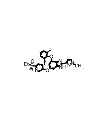 CCS(=O)(=O)c1ccc(Oc2cc(Oc3c(F)cccc3F)c3nc(-c4ccn(C)n4)[nH]c3c2)cn1